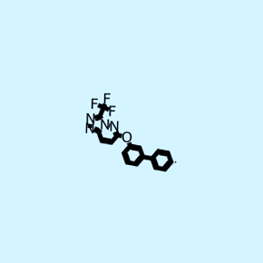 FC(F)(F)c1nnc2ccc(Oc3cccc(-c4cc[c]cc4)c3)nn12